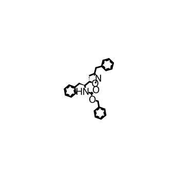 O=C(N[C@@H](Cc1ccccc1)[C@@H]1CC(Cc2ccccc2)=NO1)OCc1ccccc1